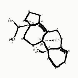 C[C@]12CCCC=C1CCC1=C3CCC[C@@]3(C(O)O)CC[C@@H]12